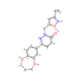 Cc1cc(Cn2nc(-c3ccc4c(c3)OCCCO4)ccc2=O)on1